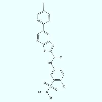 CCN(CC)S(=O)(=O)c1cc(NC(=O)c2cc3cc(-c4ccc(F)cn4)cnc3s2)ccc1Cl